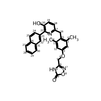 Cc1cc(OCc2noc(=O)[nH]2)cc(C)c1Cc1ccc(O)c(-c2ccc3ccccc3c2)n1